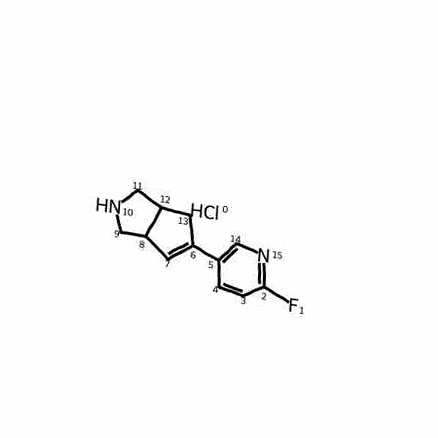 Cl.Fc1ccc(C2=CC3CNCC3C2)cn1